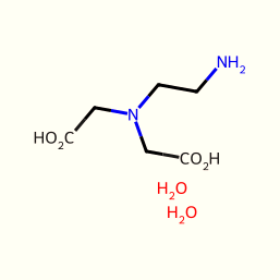 NCCN(CC(=O)O)CC(=O)O.O.O